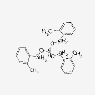 Cc1ccccc1[SiH2]O[SiH](O[SiH2]c1ccccc1C)O[SiH2]c1ccccc1C